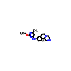 Cc1cc(NC2=CC3=C(CC2)[C@@H]2CNCCN2CC3)nc(OCC(F)(F)F)n1